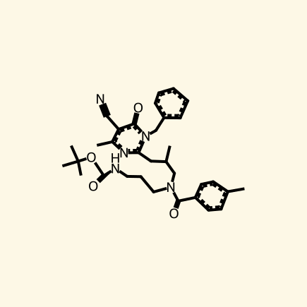 Cc1ccc(C(=O)N(CCCNC(=O)OC(C)(C)C)CC(C)Cc2nc(C)c(C#N)c(=O)n2Cc2ccccc2)cc1